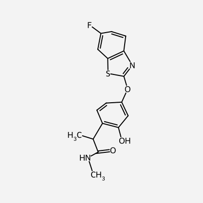 CNC(=O)C(C)c1ccc(Oc2nc3ccc(F)cc3s2)cc1O